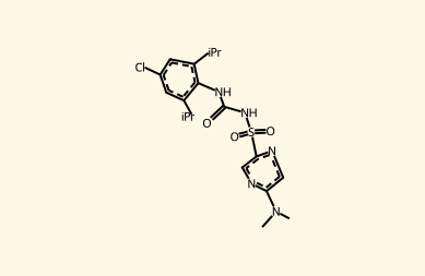 CC(C)c1cc(Cl)cc(C(C)C)c1NC(=O)NS(=O)(=O)c1cnc(N(C)C)cn1